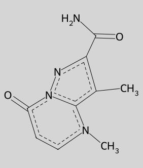 Cc1c(C(N)=O)nn2c(=O)ccn(C)c12